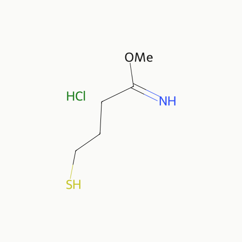 COC(=N)CCCS.Cl